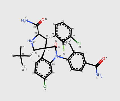 COc1cc(C(N)=O)ccc1N1C(=O)[C@]2(c3ccc(Cl)cc31)[C@H](CC(C)(C)C(F)(F)F)N[C@@H](C(N)=O)[C@@H]2c1cccc(Cl)c1F